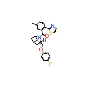 Cc1ccc(-c2nccs2)c(C(=O)N2C3CC(C3)C[C@H]2COc2ccc(F)cc2)c1